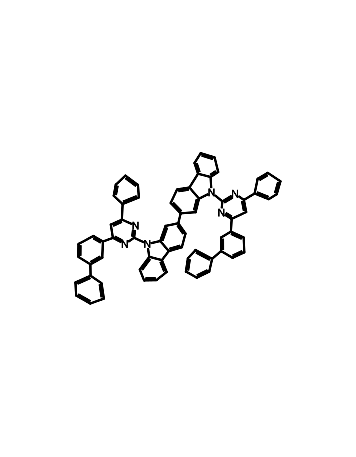 c1ccc(-c2cccc(-c3cc(-c4ccccc4)nc(-n4c5ccccc5c5ccc(-c6ccc7c8ccccc8n(-c8nc(-c9ccccc9)cc(-c9cccc(-c%10ccccc%10)c9)n8)c7c6)cc54)n3)c2)cc1